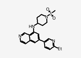 CCc1ccc(-c2cc(NC3CCN(S(C)(=O)=O)CC3)c3cnccc3c2)cn1